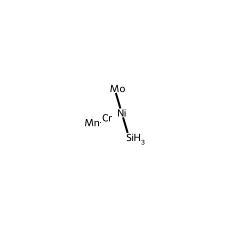 [Cr].[Mn].[SiH3][Ni][Mo]